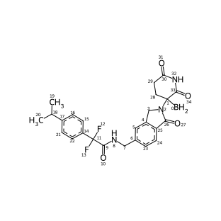 BC1(N2Cc3cc(CNC(=O)C(F)(F)c4ccc(C(C)C)cc4)ccc3C2=O)CCC(=O)NC1=O